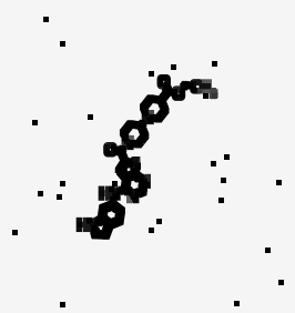 CCOC(=O)C1CCN(C2CCN(C(=O)c3cc4c(Nc5ccc6cc[nH]c6c5)ncnc4s3)CC2)CC1